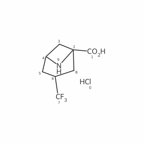 Cl.O=C(O)C12CC(CC(C(F)(F)F)C1)N2